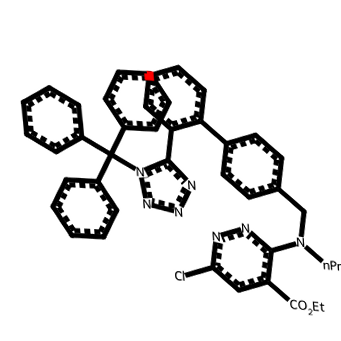 CCCN(Cc1ccc(-c2ccccc2-c2nnnn2C(c2ccccc2)(c2ccccc2)c2ccccc2)cc1)c1nnc(Cl)cc1C(=O)OCC